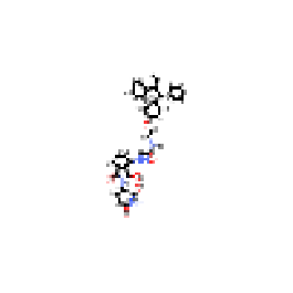 CC/C(=C(\c1ccccc1)c1ccc(OCCN(C)C(=O)CNc2cccc3c2C(=O)N(C2CCC(=O)NC2=O)C3=O)cc1)c1ccccc1